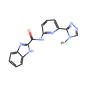 CC(C)n1cnnc1-c1cccc(NC(=O)c2nc3ccccc3[nH]2)n1